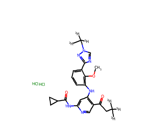 Cl.Cl.[2H]C([2H])([2H])CC(=O)c1cnc(NC(=O)C2CC2)cc1Nc1cccc(-c2ncn(C([2H])([2H])[2H])n2)c1OC